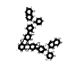 c1ccc(N(c2ccc3ccccc3c2)c2ccc3c(c2)oc2cc4c(cc23)Oc2cccc3c2B4c2cc4oc5cc(N(c6ccccc6)c6ccc7ccccc7c6)ccc5c4cc2O3)cc1